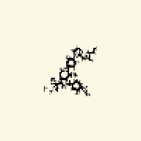 CCCN(C)Cc1nccn1-c1ccc(N2CCc3c(C(N)=O)nn(-c4ccc(OC)cc4)c3C2=O)cc1